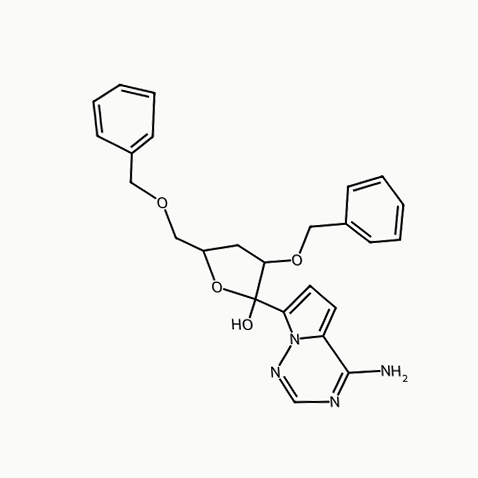 Nc1ncnn2c(C3(O)OC(COCc4ccccc4)CC3OCc3ccccc3)ccc12